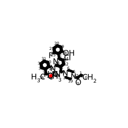 C=CC(=O)N1CCN(/C(=N/C)c2cc(Cl)c(-c3c(O)cccc3F)nc2N(C=O)c2ccccc2C(C)C)CC1